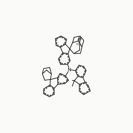 C[C@H]1C2CC3CC(C2)C2(c4ccccc4-c4ccc(N(c5ccc6c(c5)C5(CC7CCC5C7)c5ccccc5-6)c5cccc6c5C(C)(C)c5ccccc5-6)cc42)C1C3